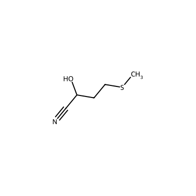 CSCCC(O)C#N